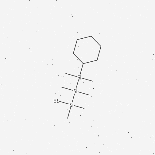 CC[Si](C)(C)[Si](C)(C)[Si](C)(C)C1CCCCC1